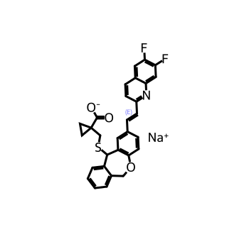 O=C([O-])C1(CSC2c3ccccc3COc3ccc(/C=C/c4ccc5cc(F)c(F)cc5n4)cc32)CC1.[Na+]